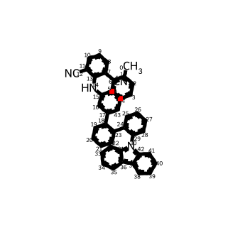 Cc1ccccc1-c1cccc(C#N)c1Nc1cc(-c2ccccc2-c2ccccc2-n2c3ccccc3c3ccccc32)ccc1C#N